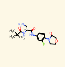 CC(C)(C)C(=O)N[C@H](CN)C(=O)Nc1ccc(N2CCOCC2=O)c(F)c1